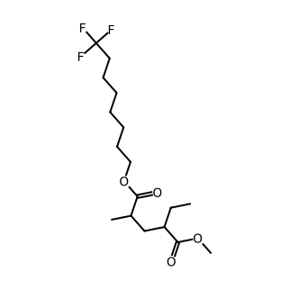 CCC(CC(C)C(=O)OCCCCCCCC(F)(F)F)C(=O)OC